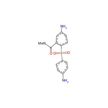 CNC(=O)c1cc(N)ccc1S(=O)(=O)c1ccc(N)cc1